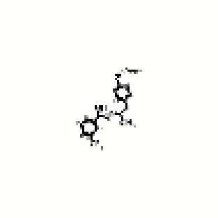 CCCCCOc1ccc(CC(C)NCC(O)c2cccc(C(F)(F)F)c2)cc1